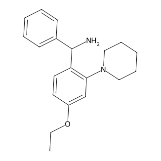 CCOc1ccc(C(N)c2ccccc2)c(N2CCCCC2)c1